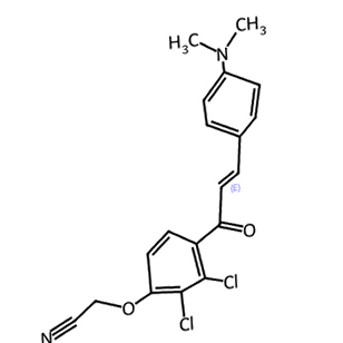 CN(C)c1ccc(/C=C/C(=O)c2ccc(OCC#N)c(Cl)c2Cl)cc1